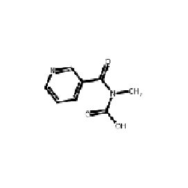 CN(C(=O)O)C(=O)c1cccnc1